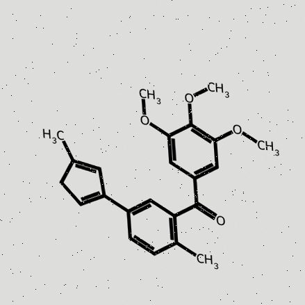 COc1cc(C(=O)c2cc(C3=CCC(C)=C3)ccc2C)cc(OC)c1OC